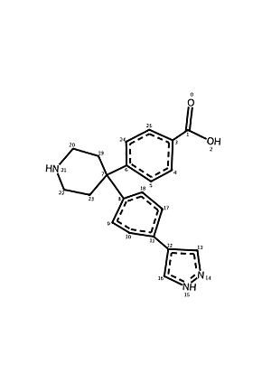 O=C(O)c1ccc(C2(c3ccc(-c4cn[nH]c4)cc3)CCNCC2)cc1